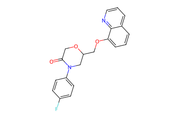 O=C1COC(COc2cccc3cccnc23)CN1c1ccc(F)cc1